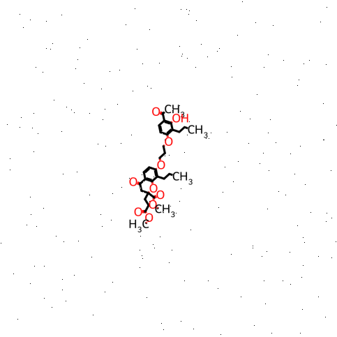 CCCc1c(OCCCOc2ccc3c(c2CCC)OC(CCC(=O)OC)(C(=O)OC)CC3=O)ccc(C(C)=O)c1O